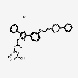 CC(C)C[C@H](NC(=O)Cn1nc(-c2cccc(OCCN3CCN(c4ccccc4)CC3)c2)cc1-c1ccccc1)OB(O)O.Cl